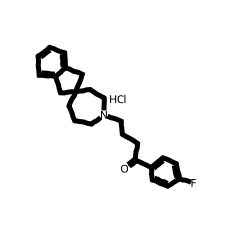 Cl.O=C(CCCN1CCCC2(CC1)Cc1ccccc1C2)c1ccc(F)cc1